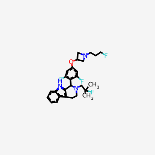 CC(C)(F)CN1CCc2c([nH]c3ccccc23)C1c1c(F)cc(OC2CN(CCCF)C2)cc1F